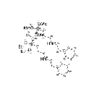 CCO[Si](CCCNCCc1ccccc1)(OCC)OCC.CO[Si](CCCNCCc1ccccc1)(OC)OC